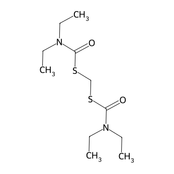 CCN(CC)C(=O)SCSC(=O)N(CC)CC